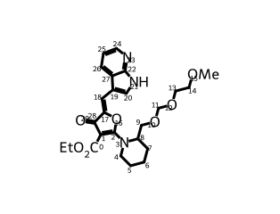 CCOC(=O)C1=C(N2CCCCC2COCOCCOC)OC(=Cc2c[nH]c3ncccc23)C1=O